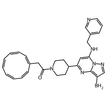 Bc1cnn2c(NCc3cccnc3)cc(C3CCN(C(=O)Cc4ccccccccc4)CC3)nc12